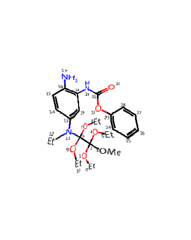 CCOC(OC)(OCC)C(OCC)(OCC)N(CC)c1ccc(N)c(NC(=O)Oc2ccccc2)c1